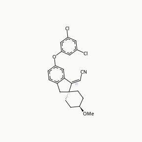 CO[C@H]1CC[C@]2(CC1)Cc1ccc(Oc3cc(Cl)cc(Cl)c3)cc1/C2=C\C#N